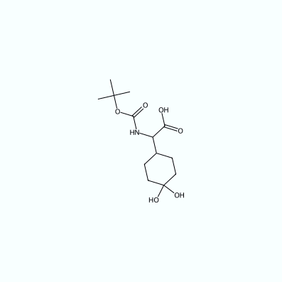 CC(C)(C)OC(=O)NC(C(=O)O)C1CCC(O)(O)CC1